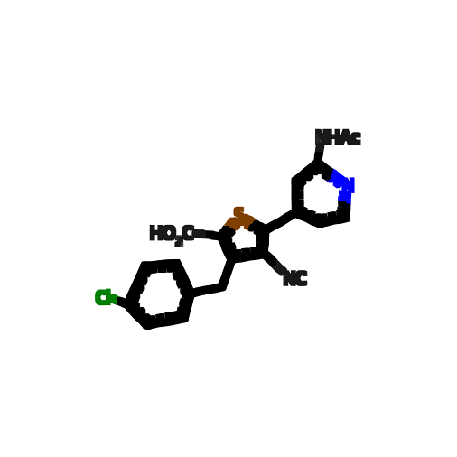 [C-]#[N+]c1c(-c2ccnc(NC(C)=O)c2)sc(C(=O)O)c1Cc1ccc(Cl)cc1